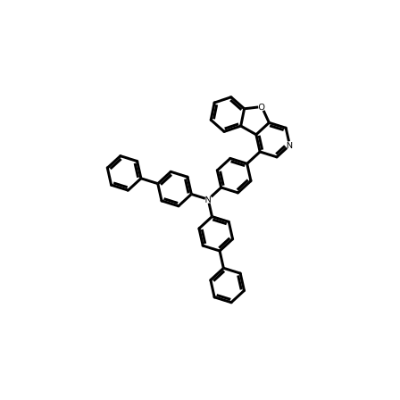 c1ccc(-c2ccc(N(c3ccc(-c4ccccc4)cc3)c3ccc(-c4cncc5oc6ccccc6c45)cc3)cc2)cc1